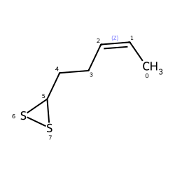 C/C=C\CCC1SS1